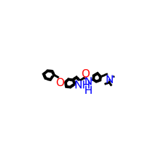 CC(C)N(C)Cc1ccc(NC(=O)c2cc3cc(OCc4ccccc4)ccc3[nH]2)cc1